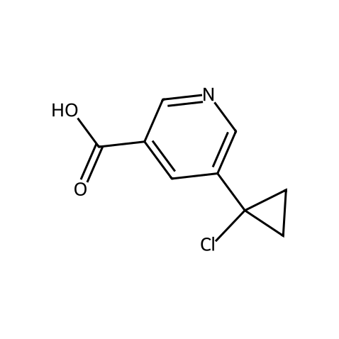 O=C(O)c1cncc(C2(Cl)CC2)c1